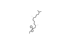 CCOC(=O)C[C@@H](C)CCC[C@H](C)CCCC(C)C